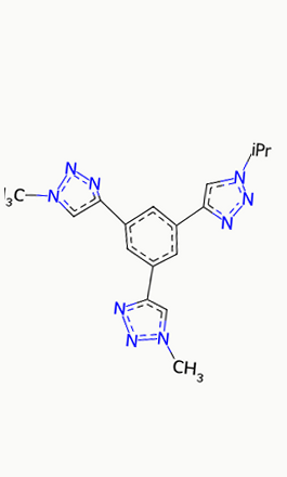 CC(C)n1cc(-c2cc(-c3cn(C)nn3)cc(-c3cn(C)nn3)c2)nn1